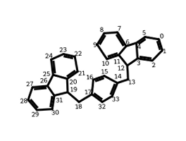 c1ccc2c(c1)-c1ccccc1C2Cc1ccc(CC2c3ccccc3-c3ccccc32)cc1